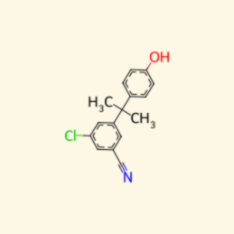 CC(C)(c1ccc(O)cc1)c1cc(Cl)cc(C#N)c1